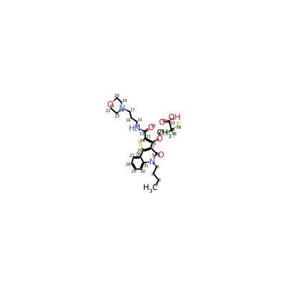 CCCCn1c(=O)c2c(OC)c(C(=O)NCCCN3CCOCC3)sc2c2ccccc21.O=C(O)C(F)(F)F